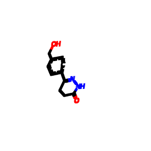 O=C1CCC(c2ccc(CO)cc2)=NN1